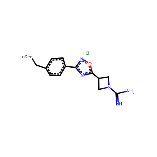 CCCCCCCCCCCc1ccc(-c2noc(C3CN(C(=N)N)C3)n2)cc1.Cl